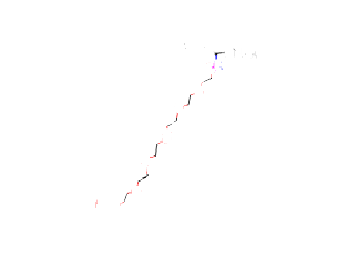 CCCCCCCCCC(C)=NOCCOCCOCCOCCOCCOCCO